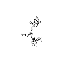 Cc1cc(CCN(C)CCCN2Cc3cc4c(cc3C2=O)OCO4)c(C)o1